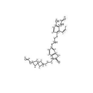 C/C=C\c1c(CCNCc2ccc3c(c2)sc(=O)n3CCCN2CC3(CC(OC=O)C3)C2)ccc(O)c1NC=O